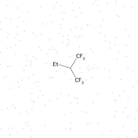 CCC(C(F)(F)F)C(F)(F)F